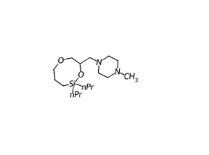 CCC[Si]1(CCC)CCCOCC(CN2CCN(C)CC2)O1